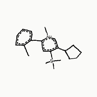 Cc1ccccc1-c1cc([Si](C)(C)C)c(C2CCCC2)c[n+]1C